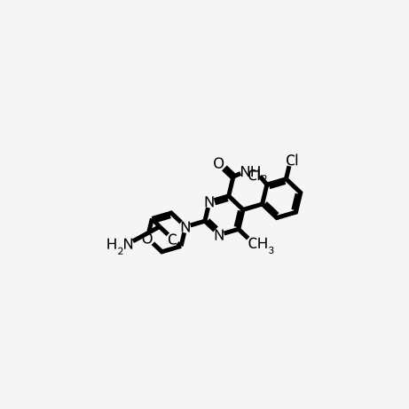 Cc1nc(N2C=C3OCC2CC3N)nc(C(N)=O)c1-c1cccc(Cl)c1Cl